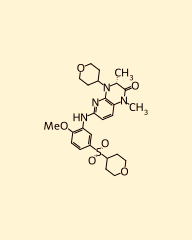 COc1ccc(S(=O)(=O)C2CCOCC2)cc1Nc1ccc2c(n1)N(C1CCOCC1)[C@H](C)C(=O)N2C